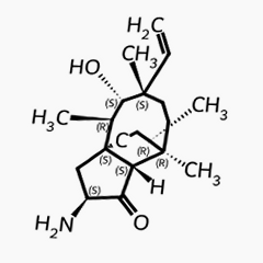 C=C[C@]1(C)CC[C@]2(C)[C@H](C)CC[C@]3(C[C@H](N)C(=O)[C@@H]23)[C@@H](C)[C@@H]1O